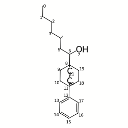 CCCCCCC(O)C12CCC(c3ccccc3)(CC1)CC2